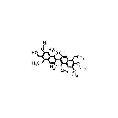 CCc1c(CO)c(OC)cc2c(OC)c(-c3c(C)cc4c(CC)c(OC)c(OC)cc4c3OC)c(C)cc12